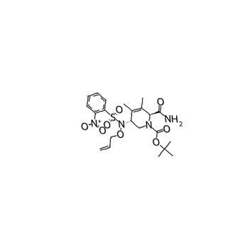 C=CCON([C@H]1CN(C(=O)OC(C)(C)C)[C@H](C(N)=O)C(C)=C1C)S(=O)(=O)c1ccccc1[N+](=O)[O-]